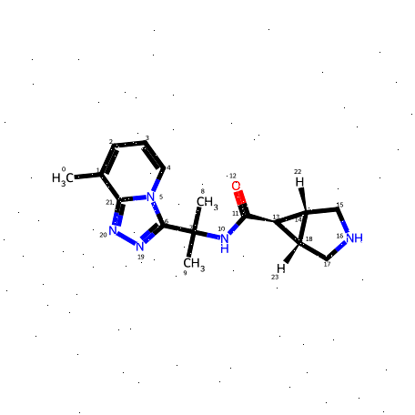 Cc1cccn2c(C(C)(C)NC(=O)[C@H]3[C@@H]4CNC[C@@H]43)nnc12